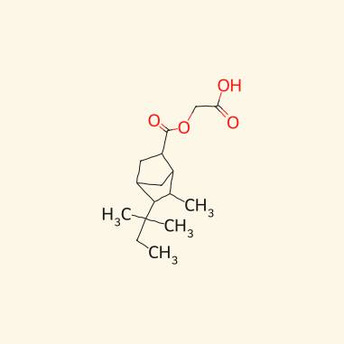 CCC(C)(C)C1C2CC(C(=O)OCC(=O)O)C(C2)C1C